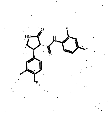 Cc1cc([C@H]2CNC(=O)[C@@H]2C(=O)Nc2ccc(F)cc2F)ccc1C(F)(F)F